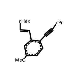 CCCC#Cc1ccc(OC)cc1/C=C/CCCCCC